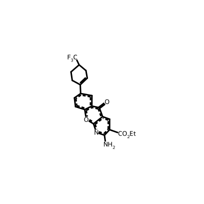 CCOC(=O)c1cc2c(=O)c3cc(C4=CCC(C(F)(F)F)CC4)ccc3oc2nc1N